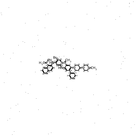 COc1cc(N2CCC(N3CCN(C)CC3)CC2)c(-c2ccncc2)cc1Nc1ncc(Br)c(Nc2ccc3nccnc3c2P(C)C)n1